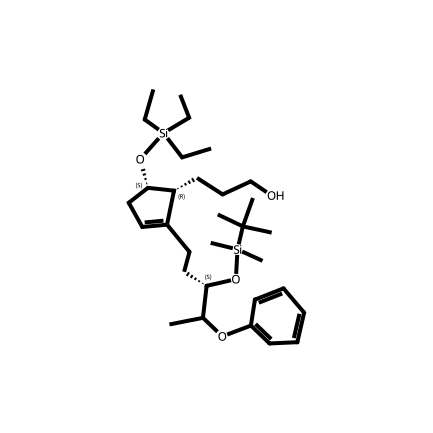 CC[Si](CC)(CC)O[C@H]1CC=C(CC[C@H](O[Si](C)(C)C(C)(C)C)C(C)Oc2ccccc2)[C@H]1CCCO